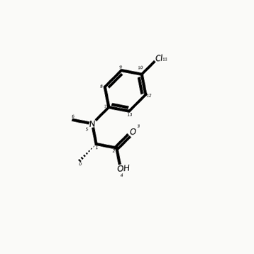 C[C@@H](C(=O)O)N(C)c1ccc(Cl)cc1